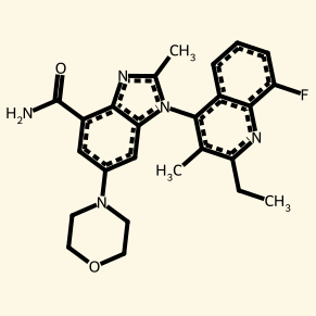 CCc1nc2c(F)cccc2c(-n2c(C)nc3c(C(N)=O)cc(N4CCOCC4)cc32)c1C